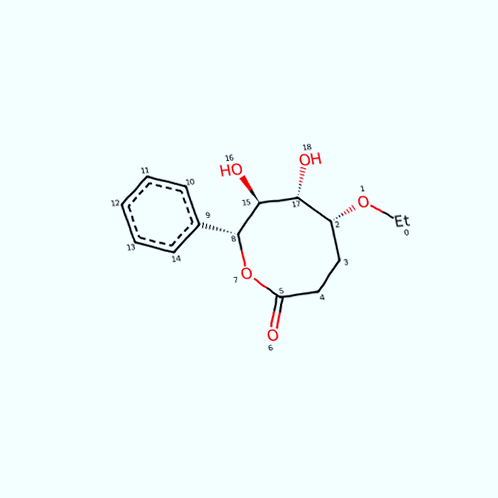 CCO[C@@H]1CCC(=O)O[C@H](c2ccccc2)[C@@H](O)[C@@H]1O